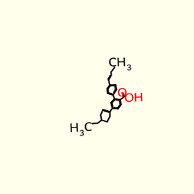 CCCC=Cc1ccc(-c2cc(C3=CCC(CCC)CC3)ccc2C(=O)O)cc1